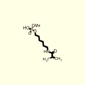 C=C(C)C(=O)NCCCCCCOP(=O)(O)OC